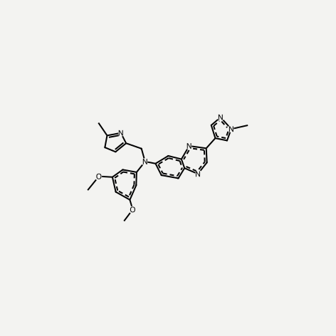 COc1cc(OC)cc(N(CC2=CCC(C)=N2)c2ccc3ncc(-c4cnn(C)c4)nc3c2)c1